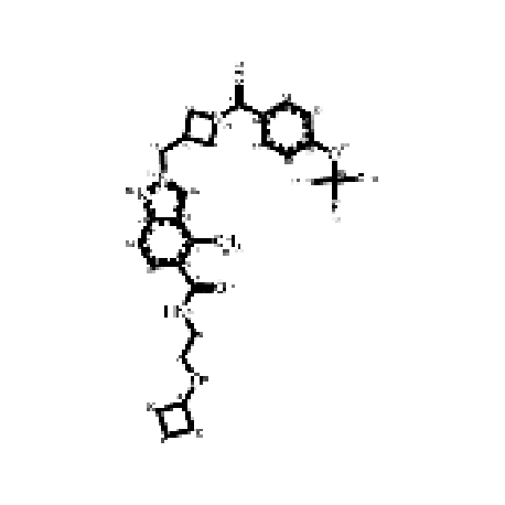 Cc1c(C(=O)NCCOC2CCC2)ccc2nn(CC3CN(C(=O)c4ccc(OC(F)(F)F)cc4)C3)cc12